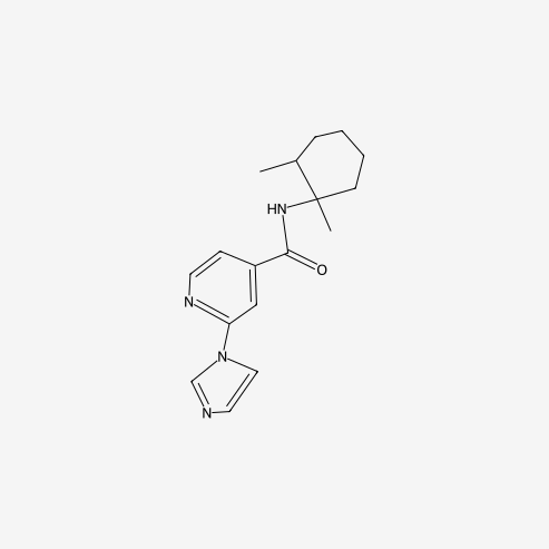 CC1CCCCC1(C)NC(=O)c1ccnc(-n2ccnc2)c1